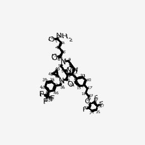 NC(=O)CCCC(=O)N1CC2CC(c3ccc(CCCOc4c(F)ccc(F)c4F)cc3)=C(C(=O)N(Cc3cccc(C(F)(F)F)c3)C3CC3)C(C1)N2